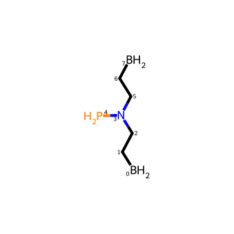 BCCN(P)CCB